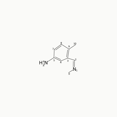 C/N=C\c1cc(N)ccc1C